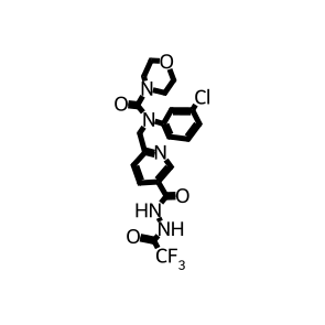 O=C(NNC(=O)C(F)(F)F)c1ccc(CN(C(=O)N2CCOCC2)c2cccc(Cl)c2)nc1